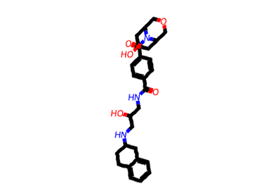 O=C(NCC(O)CNC1CCc2ccccc2C1)c1ccc(C(=O)N2C3COCC2CC(O)C3)cc1